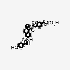 CN1CCc2cc(NC(=O)Nc3ccc(O)cc3)ccc2C1C(=O)NC(Cc1ccc(CCC(=O)O)cc1)C(=O)O